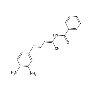 N#C/C(=C\C=C\c1ccc(N)c(N)c1)NC(=O)c1ccccc1